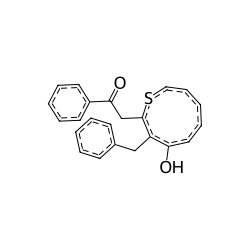 O=C(Cc1scccccc(O)c1Cc1ccccc1)c1ccccc1